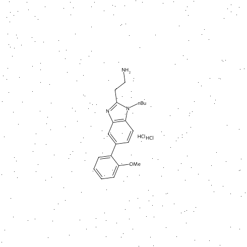 CCCCn1c(CCN)nc2cc(-c3ccccc3OC)ccc21.Cl.Cl